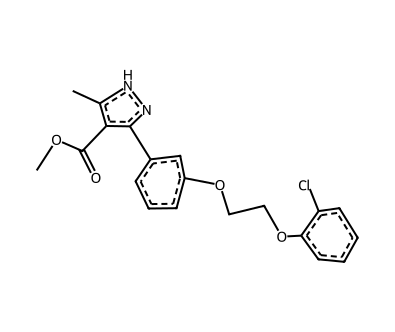 COC(=O)c1c(-c2cccc(OCCOc3ccccc3Cl)c2)n[nH]c1C